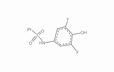 CC(C)S(=O)(=O)Nc1cc(F)c(O)c(F)c1